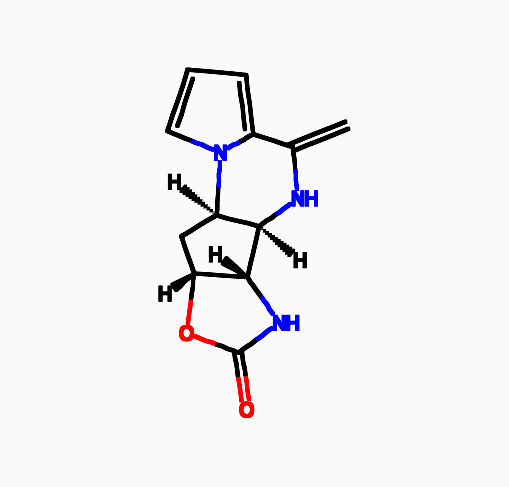 C=C1N[C@H]2[C@@H]3NC(=O)O[C@@H]3C[C@H]2n2cccc21